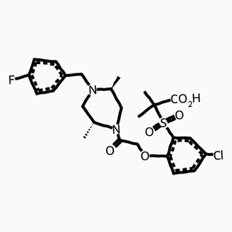 C[C@@H]1CN(Cc2ccc(F)cc2)[C@@H](C)CN1C(=O)COc1ccc(Cl)cc1S(=O)(=O)C(C)(C)C(=O)O